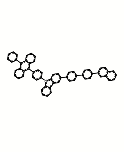 c1ccc(-c2c3ccccc3c(-c3ccc(-n4c5ccccc5c5cc(-c6ccc(-c7ccc(-c8ccc9ccccc9c8)cc7)cc6)ccc54)cc3)c3ccccc23)cc1